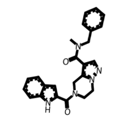 CN(Cc1ccccc1)C(=O)c1cnn2c1CN(C(=O)c1cc3ccccc3[nH]1)CC2